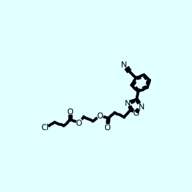 N#Cc1cccc(-c2noc(CCC(=O)OCCOC(=O)CCCl)n2)c1